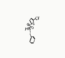 O=S(=O)(NCCc1ccccc1)c1ccc(Cl)s1